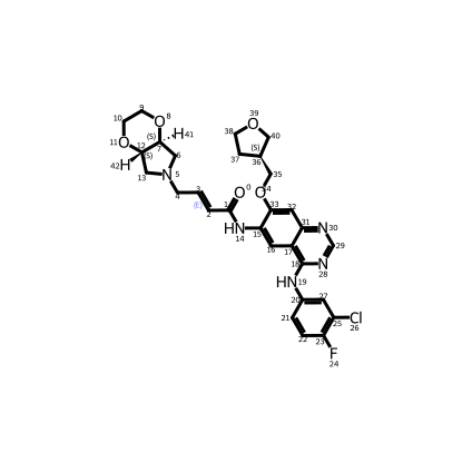 O=C(/C=C/CN1C[C@@H]2OCCO[C@H]2C1)Nc1cc2c(Nc3ccc(F)c(Cl)c3)ncnc2cc1OC[C@H]1CCOC1